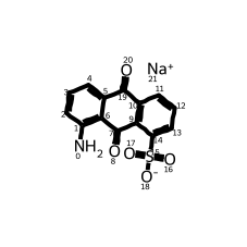 Nc1cccc2c1C(=O)c1c(cccc1S(=O)(=O)[O-])C2=O.[Na+]